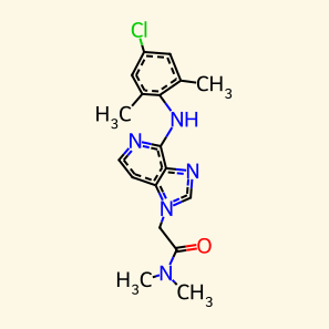 Cc1cc(Cl)cc(C)c1Nc1nccc2c1ncn2CC(=O)N(C)C